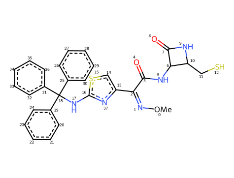 CON=C(C(=O)NC1C(=O)NC1CS)c1csc(NC(c2ccccc2)(c2ccccc2)c2ccccc2)n1